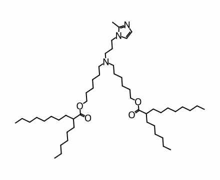 CCCCCCCCC(CCCCCC)C(=O)OCCCCCCN(CCCCCCOC(=O)C(CCCCCC)CCCCCCCC)CCCn1ccnc1C